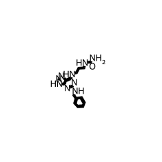 NC(=O)NCCCNc1nc(NCc2ccccc2)nc2[nH]nnc12